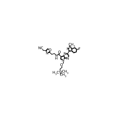 Cn1nc(-c2cnc3c(n2)c(C(=O)NCCc2nc(CC#N)co2)cn3COCC[Si](C)(C)C)c2ccc(F)cc21